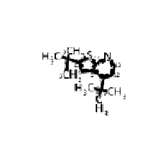 CC(C)(C)c1cc2c(C(C)(C)C)ccnc2s1